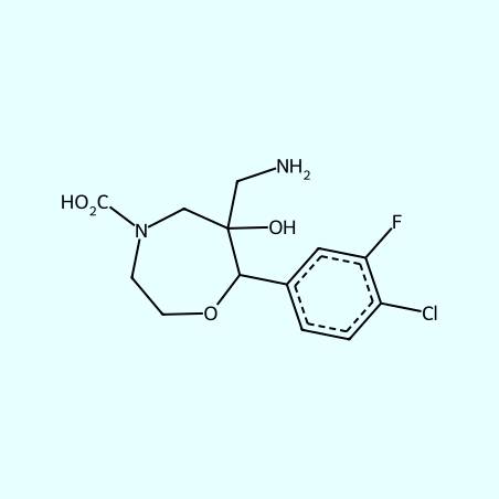 NCC1(O)CN(C(=O)O)CCOC1c1ccc(Cl)c(F)c1